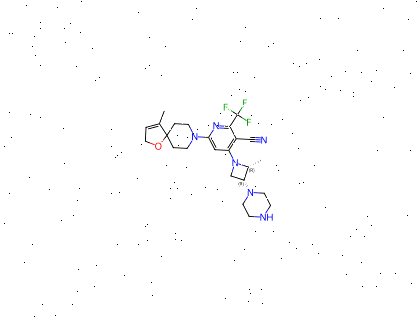 CC1=CCOC12CCN(c1cc(N3C[C@@H](N4CCNCC4)[C@H]3C)c(C#N)c(C(F)(F)F)n1)CC2